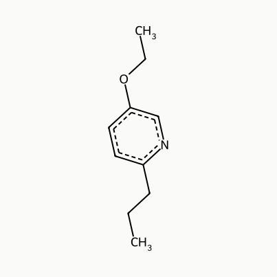 CCCc1ccc(OCC)cn1